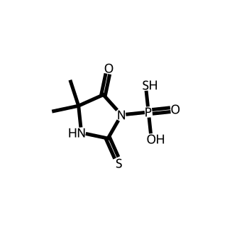 CC1(C)NC(=S)N(P(=O)(O)S)C1=O